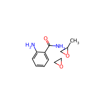 C1CO1.CC1CO1.NC(=O)c1ccccc1N